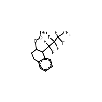 CC(C)(C)OOC1CCc2ccccc2C1C(F)(F)C(F)(F)C(F)(F)C(F)(F)F